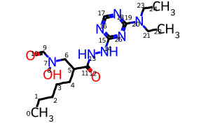 CCCCCC(CN(O)C=O)C(=O)NNc1ncnc(N(CC)CC)n1